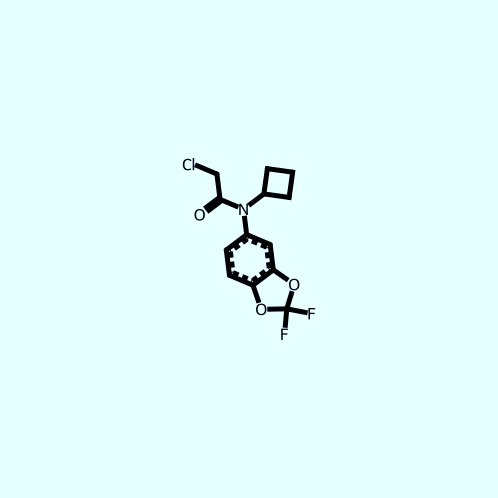 O=C(CCl)N(c1ccc2c(c1)OC(F)(F)O2)C1CCC1